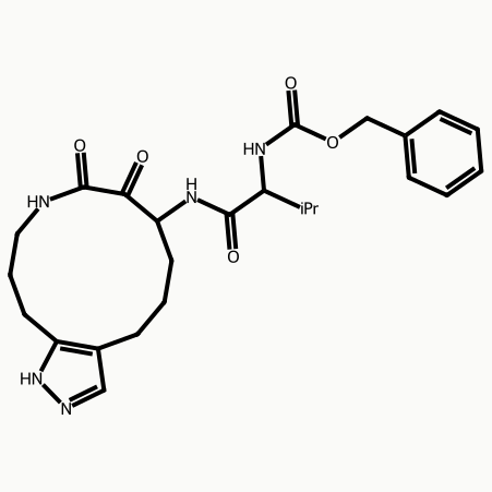 CC(C)C(NC(=O)OCc1ccccc1)C(=O)NC1CCCc2cn[nH]c2CCCNC(=O)C1=O